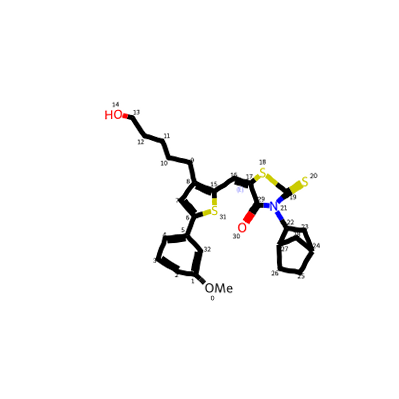 COc1cccc(-c2cc(CCCCCO)c(/C=C3/SC(=S)N(C4CC5CCC4C5)C3=O)s2)c1